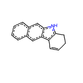 C1=Cc2c([nH]c3cc4ccccc4cc23)CC1